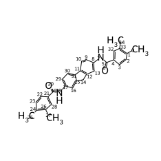 Cc1ccc(C(=O)Nc2ccc3c(c2)Cc2cc(NC(=O)c4ccc(C)c(C)c4)ccc2-3)cc1C